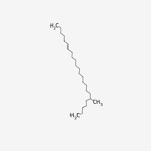 [CH2]CCCC/C=C/CCCCCCCCCCCC(C)CCCC[CH2]